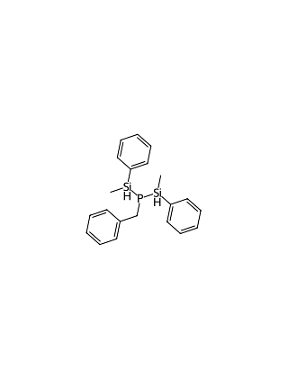 C[SiH](c1ccccc1)P(Cc1ccccc1)[SiH](C)c1ccccc1